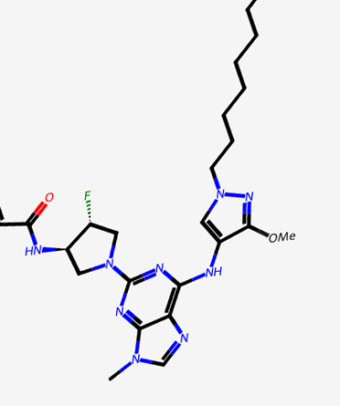 C=CC(=O)N[C@@H]1CN(c2nc(Nc3cn(CCCCCCCN)nc3OC)c3ncn(C)c3n2)C[C@H]1F